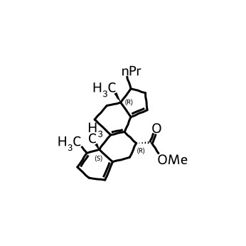 CCCC1CC=C2C3=C(CC[C@@]21C)[C@@]1(C)C(C)=CCC=C1C[C@H]3C(=O)OC